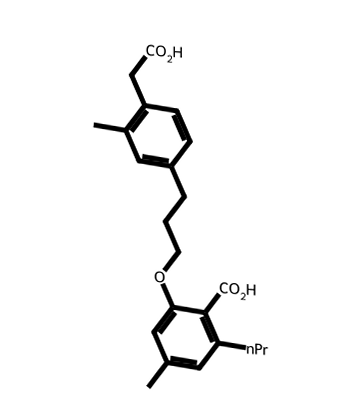 CCCc1cc(C)cc(OCCCc2ccc(CC(=O)O)c(C)c2)c1C(=O)O